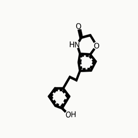 O=C1COc2ccc(CCc3cccc(O)c3)cc2N1